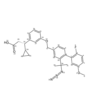 COc1ccc(F)c(-c2ccc(COc3cccc([C@@H](CC(=O)O)C4CC4)c3)cc2C(C)(C)N=[N+]=[N-])c1